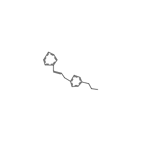 CCCc1ccc(CC=Cc2ccccc2)cc1